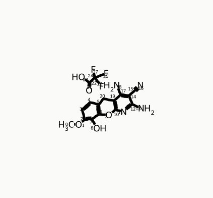 COc1ccc2c(c1O)Oc1nc(N)c(C#N)c(N)c1C2.O=C(O)C(F)(F)F